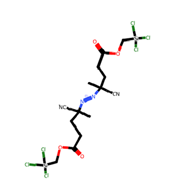 CC(C#N)(CCC(=O)OC[Si](Cl)(Cl)Cl)/N=N/C(C)(C#N)CCC(=O)OC[Si](Cl)(Cl)Cl